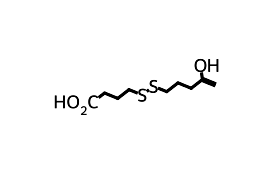 C=C(O)CCCSSCCCC(=O)O